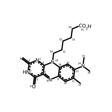 C=c1nc2c(c(=O)[nH]1)=Nc1cc(C)c(N(C)C)cc1N2CCCCCC(=O)O